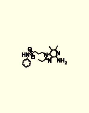 CCc1nc2c(N)nc(C)c(C)c2n1CCCS(=O)(=O)Nc1ccccc1